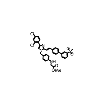 COC(=O)CNc1ccc(Cn2cc(-c3ccc(Cl)cc3Cl)nc2C=Cc2ccc(-c3cccc(S(C)(=O)=O)c3)cc2)cc1